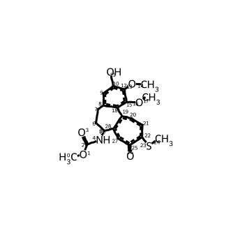 COC(=O)N[C@H]1CCc2cc(O)c(OC)c(OC)c2-c2ccc(SC)c(=O)cc21